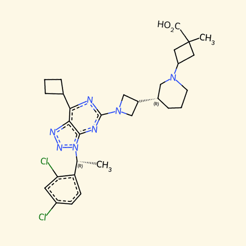 C[C@H](c1ccc(Cl)cc1Cl)n1nnc2c(C3CCC3)nc(N3CC([C@H]4CCCN(C5CC(C)(C(=O)O)C5)C4)C3)nc21